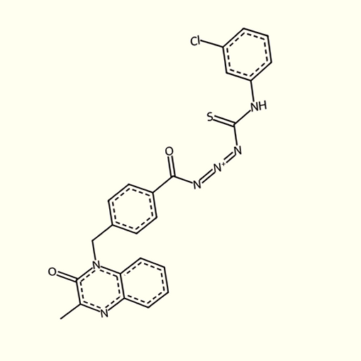 Cc1nc2ccccc2n(Cc2ccc(C(=O)N=[N+]=NC(=S)Nc3cccc(Cl)c3)cc2)c1=O